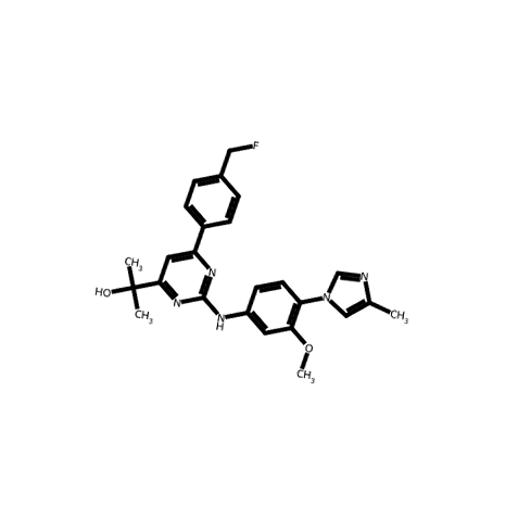 COc1cc(Nc2nc(-c3ccc(CF)cc3)cc(C(C)(C)O)n2)ccc1-n1cnc(C)c1